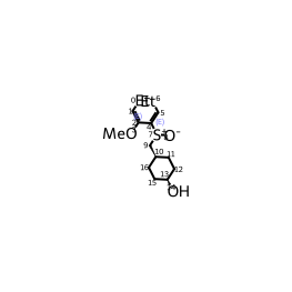 CC/C=C(OC)\C(=C/CC)[S+]([O-])C[C@H]1CC[C@@H](O)CC1